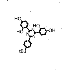 CC(C)(C)c1ccc(-c2nc(-c3ccc(O)cc3O)nc(-c3ccc(O)cc3O)n2)cc1